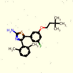 Cc1cccc(C)c1-c1nc(N)sc1-c1cc(F)cc(OCCC(C)(C)C)c1